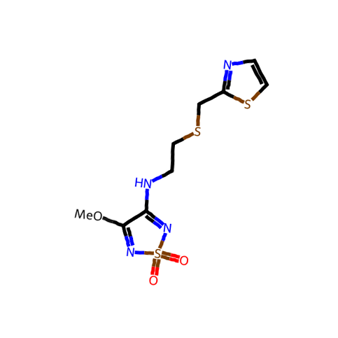 COC1=NS(=O)(=O)N=C1NCCSCc1nccs1